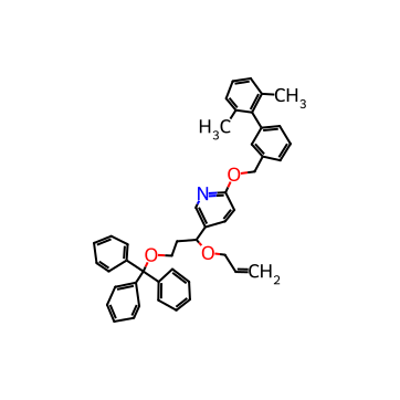 C=CCOC(CCOC(c1ccccc1)(c1ccccc1)c1ccccc1)c1ccc(OCc2cccc(-c3c(C)cccc3C)c2)nc1